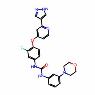 O=C(Nc1cccc(N2CCOCC2)c1)Nc1ccc(Oc2ccnc(-c3cn[nH]c3)c2)c(F)c1